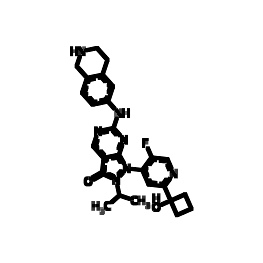 CC(C)n1c(=O)c2cnc(Nc3ccc4c(c3)CCNC4)nc2n1-c1cc(C2(O)CCC2)ncc1F